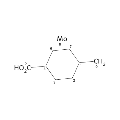 CC1CCC(C(=O)O)CC1.[Mo]